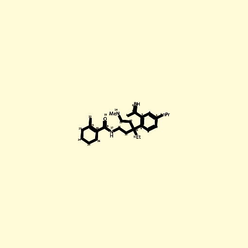 B=C(C)c1cc(CCC)ccc1C(CC)(CCNC)CCNC(=O)C1=C(C)CCCC1